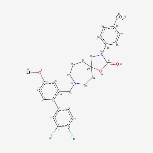 CCOc1ccc(-c2ccc(F)c(F)c2)c(CN2CCCC3(CC2)CN(c2ccc(C(=O)O)cc2)C(=O)O3)c1